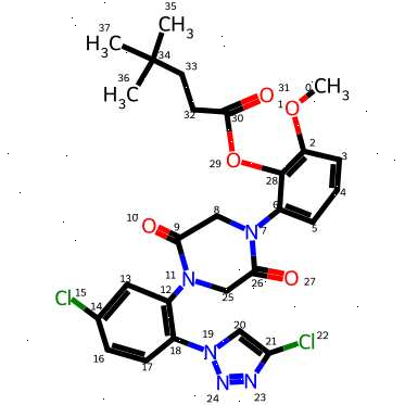 COc1cccc(N2CC(=O)N(c3cc(Cl)ccc3-n3cc(Cl)nn3)CC2=O)c1OC(=O)CCC(C)(C)C